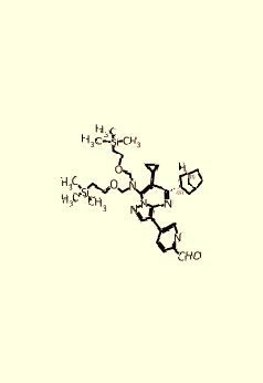 C[Si](C)(C)CCOCN(COCC[Si](C)(C)C)c1c(C2CC2)c([C@H]2CC3CC[C@@H](C3)C2)nc2c(-c3ccc(C=O)nc3)cnn12